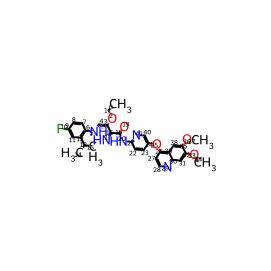 CCO/C(=C/Nc1ccc(F)cc1C(C)C)C(=N)C(=O)Nc1ccc(Oc2ccnc3cc(OC)c(OC)cc23)cn1